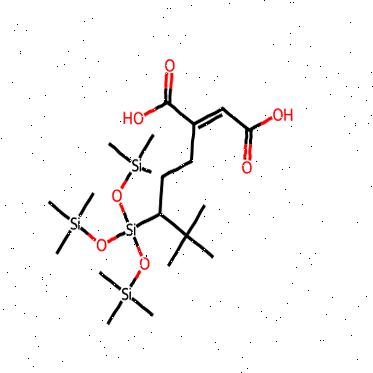 CC(C)(C)C(CC/C(=C\C(=O)O)C(=O)O)[Si](O[Si](C)(C)C)(O[Si](C)(C)C)O[Si](C)(C)C